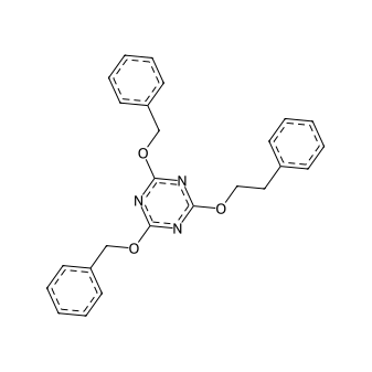 c1ccc(CCOc2nc(OCc3ccccc3)nc(OCc3ccccc3)n2)cc1